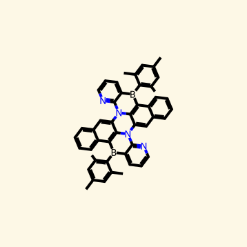 Cc1cc(C)c(B2c3cccnc3N3c4cc5ccccc5c5c4N(c4cc6ccccc6c2c43)c2ncccc2B5c2c(C)cc(C)cc2C)c(C)c1